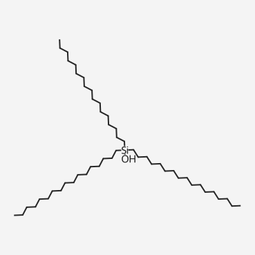 CCCCCCCCCCCCCCCCC[Si](O)(CCCCCCCCCCCCCCCCC)CCCCCCCCCCCCCCCCC